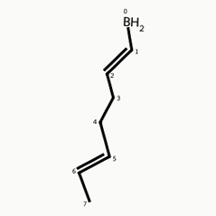 B/C=C/CC/C=C/C